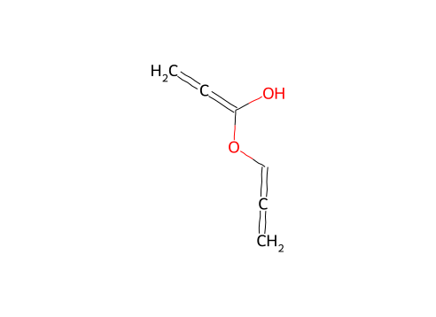 C=C=COC(O)=C=C